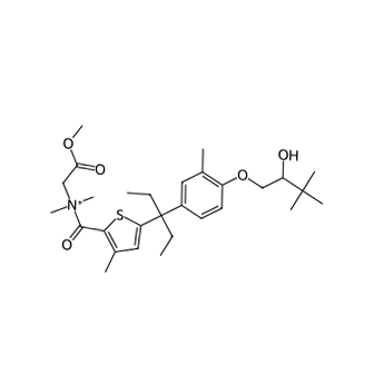 CCC(CC)(c1ccc(OCC(O)C(C)(C)C)c(C)c1)c1cc(C)c(C(=O)[N+](C)(C)CC(=O)OC)s1